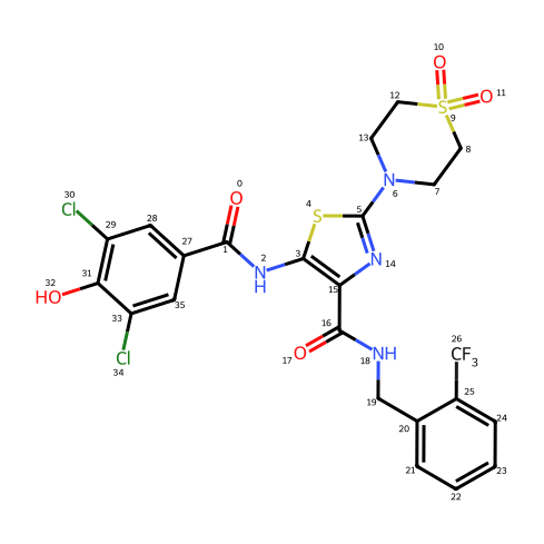 O=C(Nc1sc(N2CCS(=O)(=O)CC2)nc1C(=O)NCc1ccccc1C(F)(F)F)c1cc(Cl)c(O)c(Cl)c1